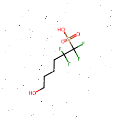 O=S(=O)(O)C(F)(F)C(F)(F)CCCCO